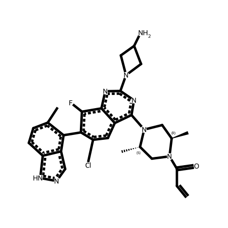 C=CC(=O)N1C[C@H](C)N(c2nc(N3CC(N)C3)nc3c(F)c(-c4c(C)ccc5[nH]ncc45)c(Cl)cc23)C[C@H]1C